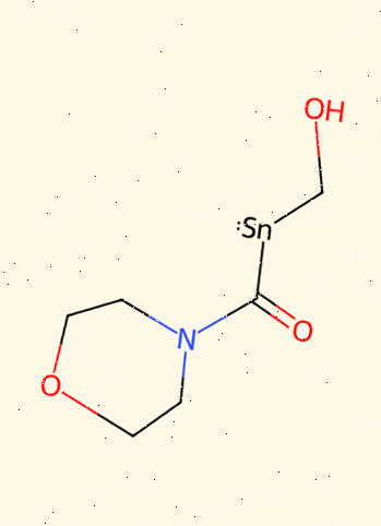 O=[C]([Sn][CH2]O)N1CCOCC1